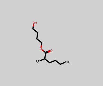 CCCCC(C)C(=O)OCCCCO